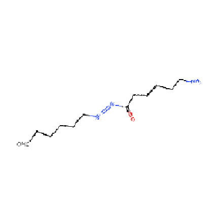 NCCCCCC(=O)N=NCCCCCC=O